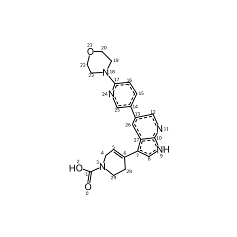 O=C(O)N1CC=C(c2c[nH]c3ncc(-c4ccc(N5CCOCC5)nc4)cc23)CC1